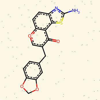 Nc1nc2ccc3occ(Cc4ccc5c(c4)OCO5)c(=O)c3c2s1